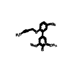 CC#CCOc1ccc(CCCC)cc1-c1cc(OC)c(=O)n(C)c1